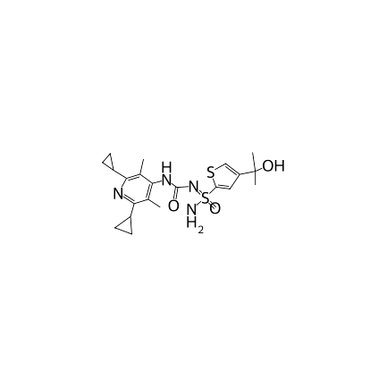 Cc1c(C2CC2)nc(C2CC2)c(C)c1NC(=O)N=S(N)(=O)c1cc(C(C)(C)O)cs1